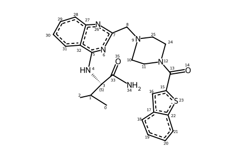 CC(C)[C@H](Nc1nc(CN2CCN(C(=O)c3cc4ccccc4s3)CC2)nc2ccccc12)C(N)=O